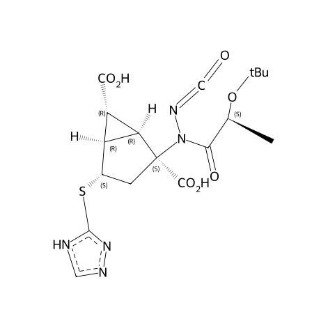 C[C@H](OC(C)(C)C)C(=O)N(N=C=O)[C@@]1(C(=O)O)C[C@H](Sc2nnc[nH]2)[C@H]2[C@H](C(=O)O)[C@H]21